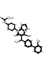 CCCc1c(C(C)c2ccc(-c3ccccc3C#N)cc2)c(=O)n(C2CCC(OC(CC)C(=O)O)CC2)c2ncnn12